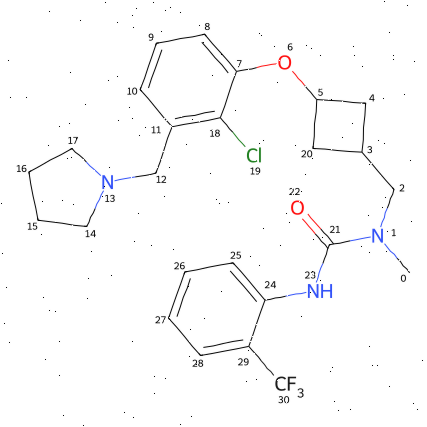 CN(CC1CC(Oc2cccc(CN3CCCC3)c2Cl)C1)C(=O)Nc1ccccc1C(F)(F)F